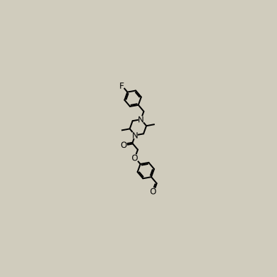 CC1CN(C(=O)COc2ccc(C=O)cc2)C(C)CN1Cc1ccc(F)cc1